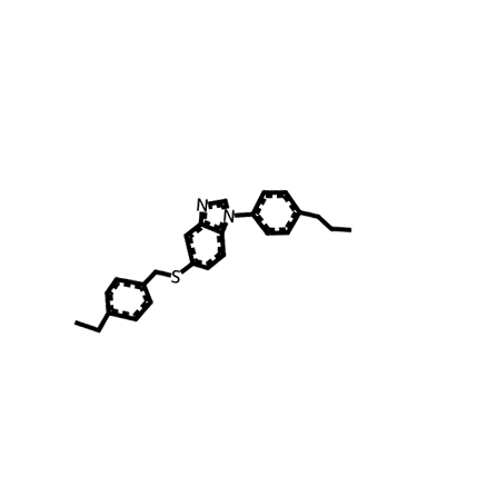 CCCc1ccc(-n2cnc3cc(SCc4ccc(CC)cc4)ccc32)cc1